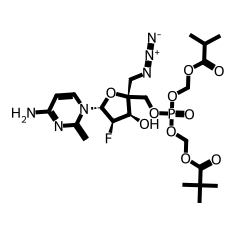 C=C1N=C(N)C=CN1[C@@H]1O[C@](CN=[N+]=[N-])(COP(=O)(OCOC(=O)C(C)C)OCOC(=O)C(C)(C)C)[C@@H](O)[C@H]1F